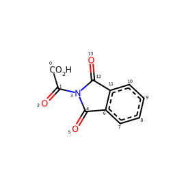 O=C(O)C(=O)N1C(=O)c2ccccc2C1=O